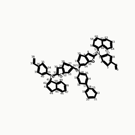 C=Cc1ccc(N(c2cc3ccc(N(c4ccc(-c5ccccc5)cc4)c4ccc5cc(N(c6ccc(C=C)cc6)c6cccc7ccccc67)sc5c4)cc3s2)c2cccc3ccccc23)cc1